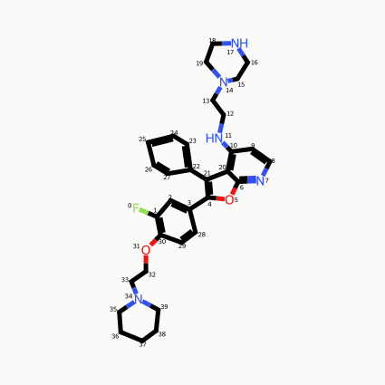 Fc1cc(-c2oc3nccc(NCCN4CCNCC4)c3c2-c2ccccc2)ccc1OCCN1CCCCC1